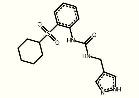 O=C(NCc1cn[nH]c1)Nc1ccccc1S(=O)(=O)C1CCCCC1